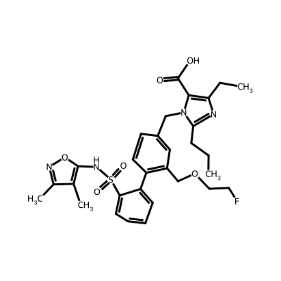 CCCc1nc(CC)c(C(=O)O)n1Cc1ccc(-c2ccccc2S(=O)(=O)Nc2onc(C)c2C)c(COCCF)c1